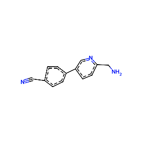 N#Cc1ccc(-c2ccc(CN)nc2)cc1